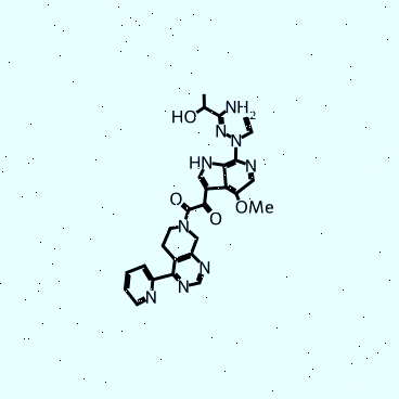 C=CN(/N=C(\N)C(C)O)c1ncc(OC)c2c(C(=O)C(=O)N3CCc4c(ncnc4-c4ccccn4)C3)c[nH]c12